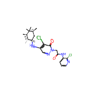 C[C@@H]1[C@@H](C)C(C)(C)[C@@H](C)C[C@H]1Nc1cnn(CC(=O)Nc2cccnc2Cl)c(=O)c1Cl